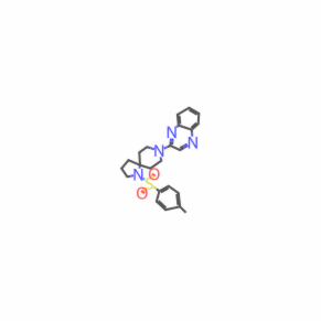 Cc1ccc(S(=O)(=O)N2CCCC23CCN(c2cnc4ccccc4n2)CC3)cc1